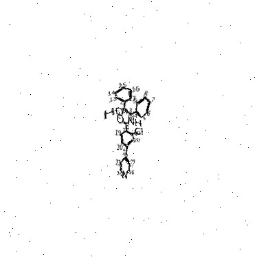 O=C(N[C@@H](c1ccccc1)[C@@H](O)c1ccccc1)c1ccc(-c2ccncc2)cc1Cl